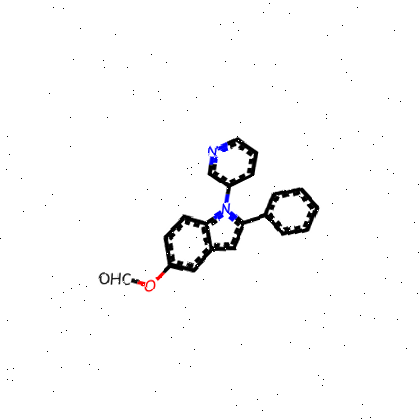 O=COc1ccc2c(c1)cc(-c1ccccc1)n2-c1cccnc1